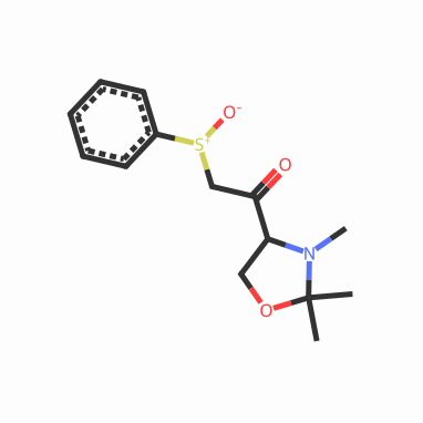 CN1C(C(=O)C[S+]([O-])c2ccccc2)COC1(C)C